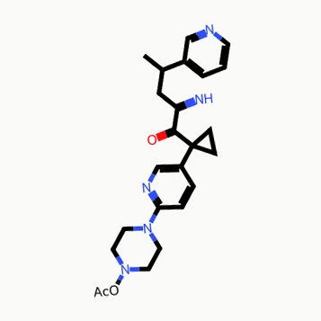 CC(=O)ON1CCN(c2ccc(C3(C(=O)C(=N)CC(C)c4cccnc4)CC3)cn2)CC1